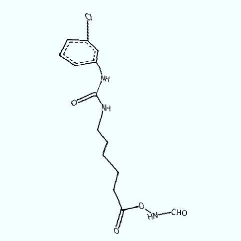 O=CNOC(=O)CCCCCNC(=O)Nc1cccc(Cl)c1